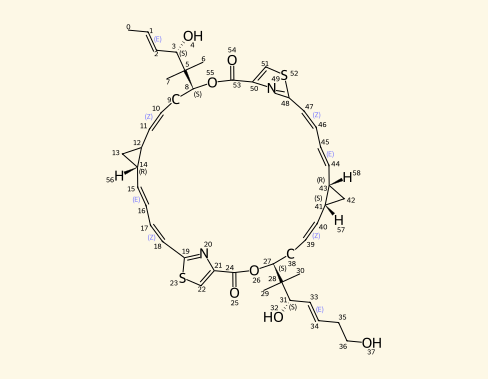 C/C=C/[C@H](O)C(C)(C)[C@@H]1C/C=C\C2C[C@H]2/C=C/C=C\c2nc(cs2)C(=O)O[C@H](C(C)(C)[C@@H](O)/C=C/CCO)C/C=C\[C@H]2C[C@H]2/C=C/C=C\c2nc(cs2)C(=O)O1